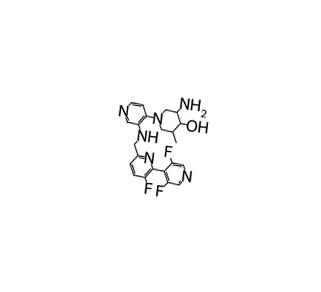 CC1CN(c2ccncc2NCc2ccc(F)c(-c3c(F)cncc3F)n2)CC(N)C1O